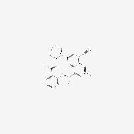 CC(Nc1ccccc1C(=O)O)c1cc(Cl)cc2c(C#N)cc(N3CCOCC3)nc12